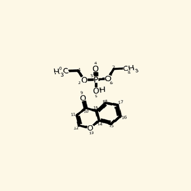 CCOP(=O)(O)OCC.O=c1ccoc2ccccc12